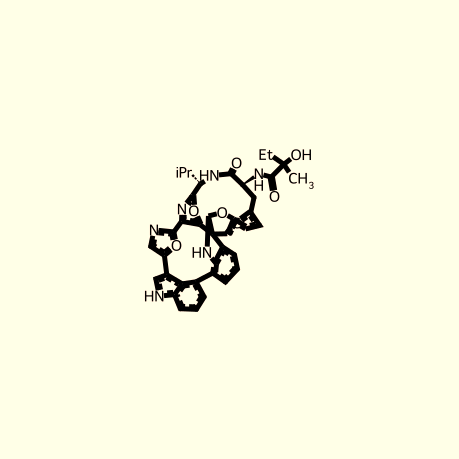 CCC(C)(O)C(=O)N[C@H]1Cc2ccc3c(c2)C24c5cccc(c5NC2O3)-c2cccc3[nH]cc(c23)-c2cnc(o2)-c2nc(oc24)[C@H](C(C)C)NC1=O